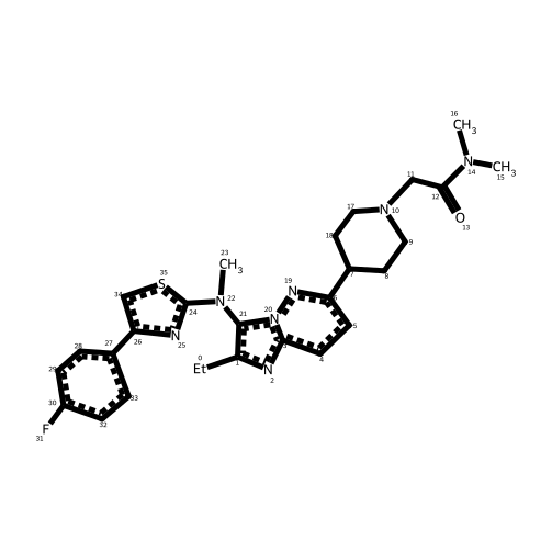 CCc1nc2ccc(C3CCN(CC(=O)N(C)C)CC3)nn2c1N(C)c1nc(-c2ccc(F)cc2)cs1